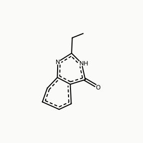 CCc1nc2ccccc2c(=O)[nH]1